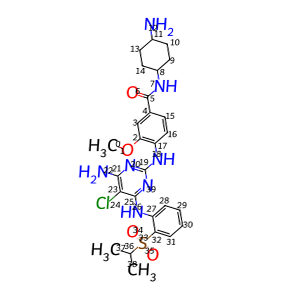 COc1cc(C(=O)NC2CCC(N)CC2)ccc1Nc1nc(N)c(Cl)c(Nc2ccccc2S(=O)(=O)C(C)C)n1